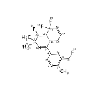 Cc1ncc(C2=NC(C)(C)C(F)=C3C2=CC=CC3(F)F)cc1CF